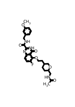 COc1cccc(CNC(=O)c2nc3ccc(F)c(OCCC4CCC(CNC(C)=O)OC4)c3c(=O)[nH]2)c1